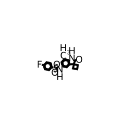 Cc1cc(NS(=O)(=O)c2ccc(F)cc2)cc2c1NC(=O)C21CCC1